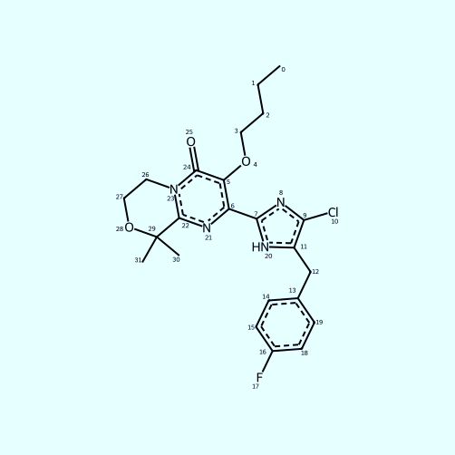 CCCCOc1c(-c2nc(Cl)c(Cc3ccc(F)cc3)[nH]2)nc2n(c1=O)CCOC2(C)C